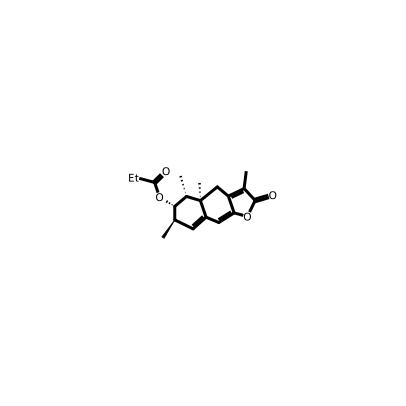 CCC(=O)O[C@H]1[C@H](C)C=C2C=C3OC(=O)C(C)=C3C[C@]2(C)[C@H]1C